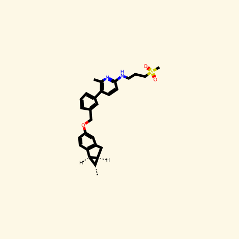 Cc1nc(NCCCS(C)(=O)=O)ccc1-c1cccc(COc2ccc3c(c2)C[C@H]2[C@H](C)[C@@H]32)c1